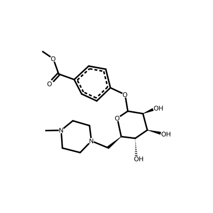 COC(=O)c1ccc(OC2O[C@H](CN3CCN(C)CC3)[C@@H](O)[C@H](O)[C@@H]2O)cc1